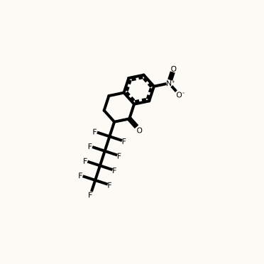 O=C1c2cc([N+](=O)[O-])ccc2CCC1C(F)(F)C(F)(F)C(F)(F)C(F)(F)F